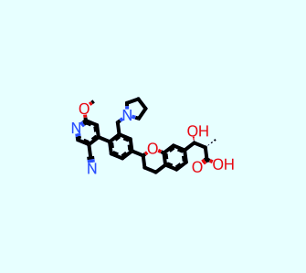 COc1cc(-c2ccc(C3CCc4ccc([C@H](O)[C@H](C)C(=O)O)cc4O3)cc2CN2CCCC2)c(C#N)cn1